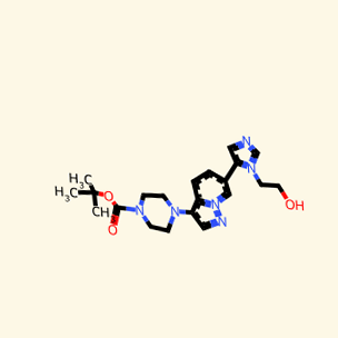 CC(C)(C)OC(=O)N1CCN(c2cnn3cc(-c4cncn4CCO)ccc23)CC1